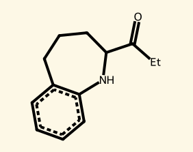 [CH2]CC(=O)C1CCCc2ccccc2N1